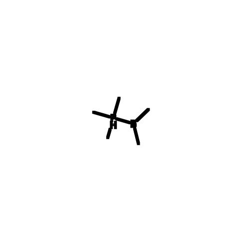 CB(C)[PH](C)(C)C